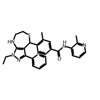 CCn1nc(-c2ccccn2)c2c1NCCSC2c1ccc(C(=O)Nc2cccnc2C)cc1C